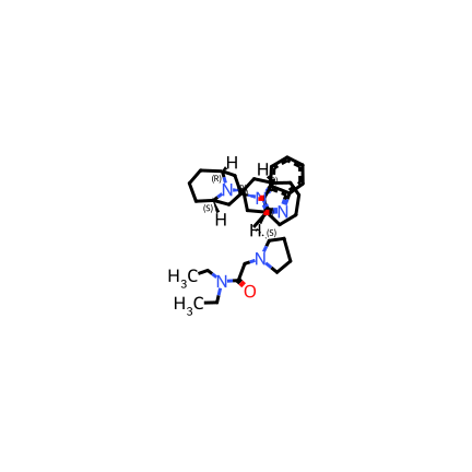 CCN(CC)C(=O)CN1CCC[C@H]1Cc1nc2ccccc2n1[C@@H]1C[C@H]2CCC[C@@H](C1)N2[C@H]1C[C@@H]2CCCC[C@@H](C2)C1